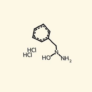 Cl.Cl.NN(O)Cc1ccccc1